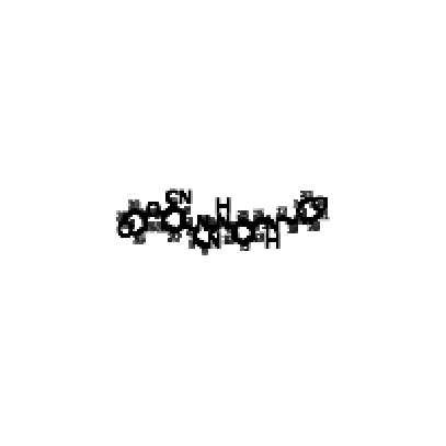 N#Cc1cc(-c2ccnc(Nc3cccc(CNCCN4CCOCC4)c3)n2)ccc1OC1CCOCC1